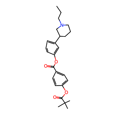 CCCN1CCCC(c2cccc(OC(=O)c3ccc(OC(=O)C(C)(C)C)cc3)c2)C1